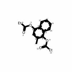 CCC(=O)Oc1cc(C)c(OC(=O)CC)c2ccccc12